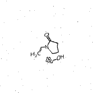 C=CN1CCCC1=O.CC(C)(C)O